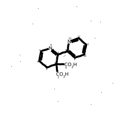 O=C(O)C1(C(=O)O)CC=CN=C1c1ccccn1